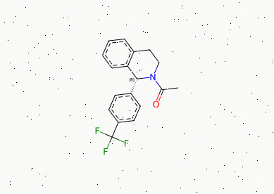 CC(=O)N1CCc2ccccc2[C@H]1c1ccc(C(F)(F)F)cc1